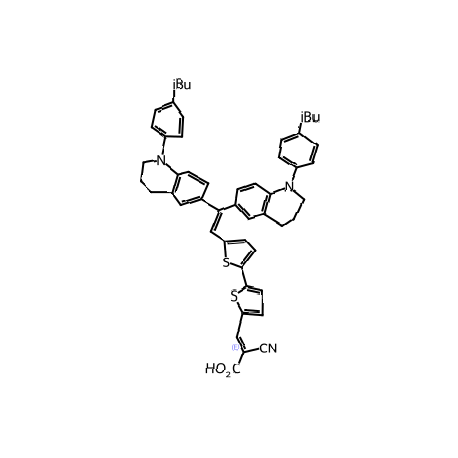 CCC(C)c1ccc(N2CCCc3cc(C(=Cc4ccc(-c5ccc(/C=C(\C#N)C(=O)O)s5)s4)c4ccc5c(c4)CCCN5c4ccc(C(C)CC)cc4)ccc32)cc1